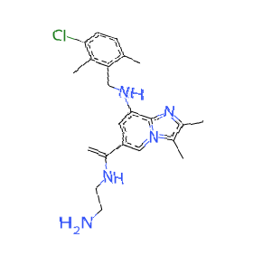 C=C(NCCN)c1cc(NCc2c(C)ccc(Cl)c2C)c2nc(C)c(C)n2c1